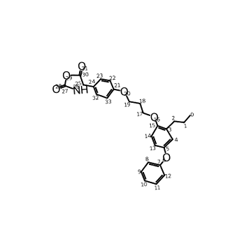 CCCc1cc(Oc2ccccc2)ccc1OCCCOc1ccc(C2NC(=O)OC2=O)cc1